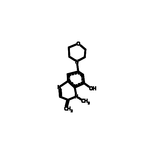 C=C1C=Nc2cc(N3CCOCC3)cc(O)c2N1C